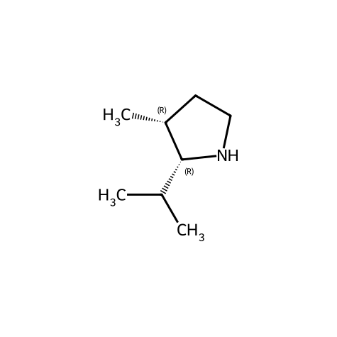 CC(C)[C@H]1NCC[C@H]1C